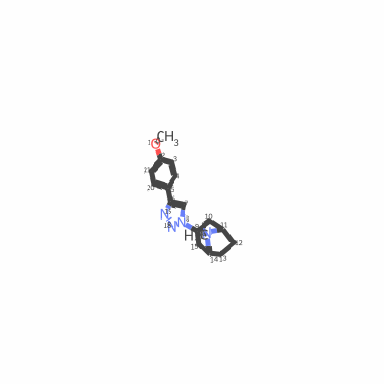 COc1ccc(-c2cn(C3CC4CCC(C3)N4C)nn2)cc1